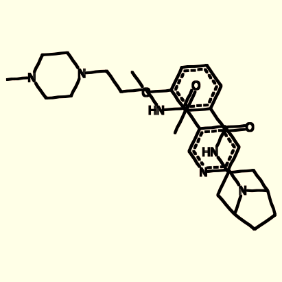 COc1cccc(C(=O)NC2CC3CCC(C2)N3c2ccc(C(=O)NCCCN3CCN(C)CC3)cn2)c1C